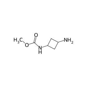 COC(=O)NC1CC(N)C1